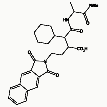 CNC(=O)C(C)NC(=O)C(C1CCCCC1)C(CCN1C(=O)c2cc3ccccc3cc2C1=O)C(=O)O